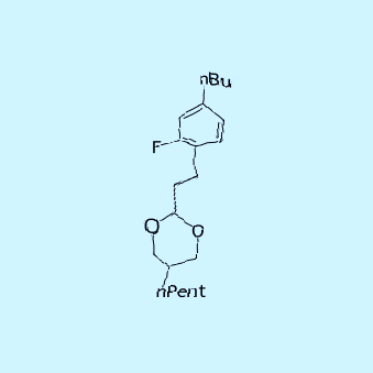 CCCCCC1COC(CCc2ccc(CCCC)cc2F)OC1